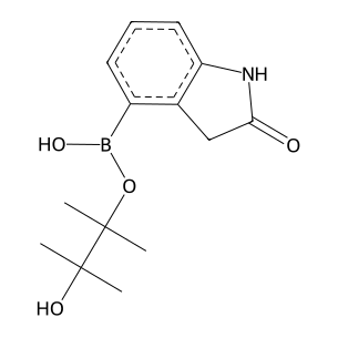 CC(C)(O)C(C)(C)OB(O)c1cccc2c1CC(=O)N2